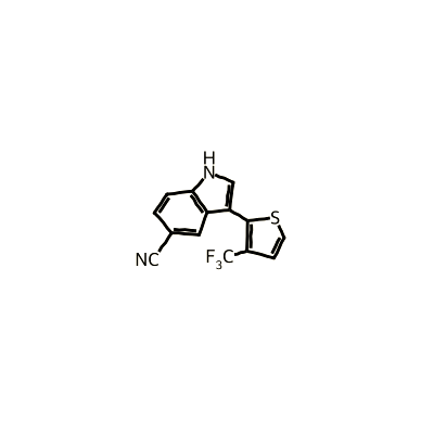 N#Cc1ccc2[nH]cc(-c3sccc3C(F)(F)F)c2c1